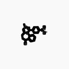 CN(C)/C=C1/CCC(=O)c2ccccc2N1C(=O)c1ccc([N+](=O)[O-])cc1